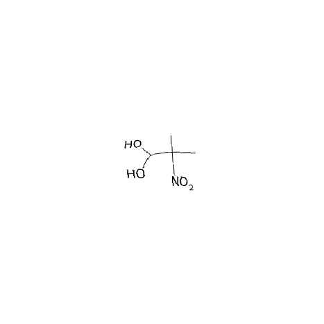 CC(C)(C(O)O)[N+](=O)[O-]